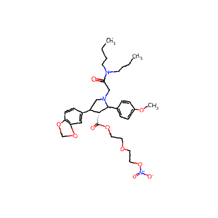 CCCCN(CCCC)C(=O)CN1CC(c2ccc3c(c2)OCO3)[C@@H](C(=O)OCCOCCO[N+](=O)[O-])C1c1ccc(OC)cc1